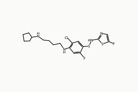 Fc1cnc(NSc2cc(Cl)c(NCCCCNC3CCCC3)cc2F)s1